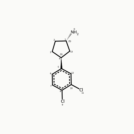 N[C@H]1CC[C@H](c2ccc(Cl)c(Cl)c2)C1